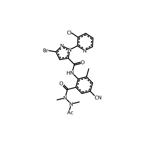 CC(=O)N(C)N(C)C(=O)c1cc(C#N)cc(C)c1NC(=O)c1cc(Br)nn1-c1ncccc1Cl